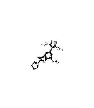 Cc1noc(C)c1-c1cc(N)c2nc(N3CCCC3)[nH]c2c1